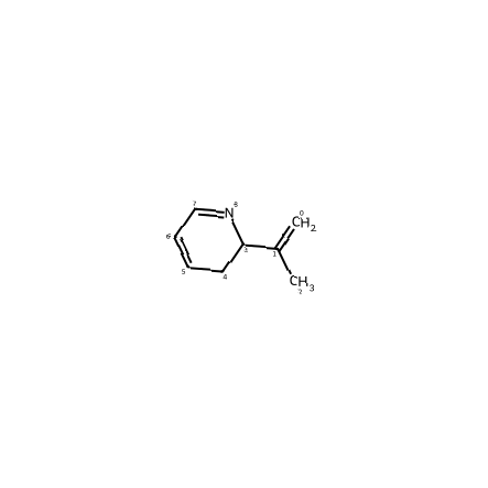 C=C(C)C1CC=CC=N1